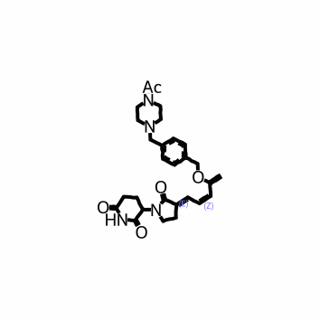 C=C(/C=C\C=C1/CCN(C2CCC(=O)NC2=O)C1=O)OCc1ccc(CN2CCN(C(C)=O)CC2)cc1